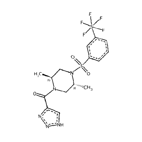 C[C@@H]1CN(C(=O)c2c[nH]nn2)[C@@H](C)CN1S(=O)(=O)c1cccc(S(F)(F)(F)(F)F)c1